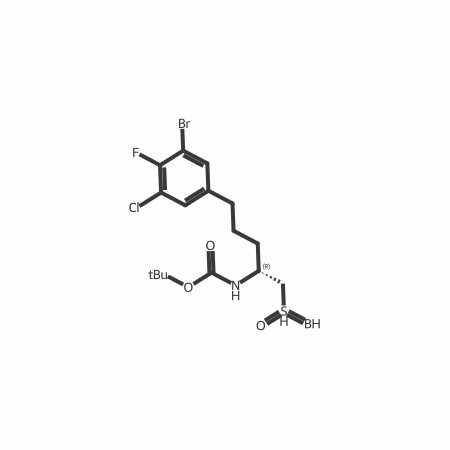 B=[SH](=O)C[C@@H](CCCc1cc(Cl)c(F)c(Br)c1)NC(=O)OC(C)(C)C